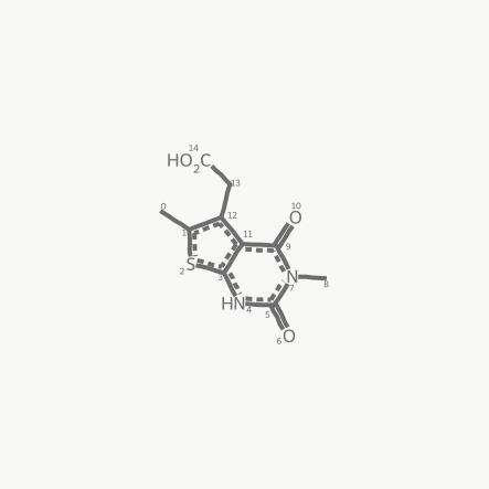 Cc1sc2[nH]c(=O)n(C)c(=O)c2c1CC(=O)O